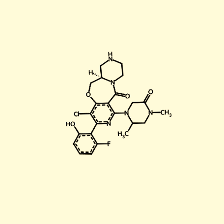 CC1CN(C)C(=O)CN1c1nc(-c2c(O)cccc2F)c(Cl)c2c1C(=O)N1CCNC[C@@H]1CO2